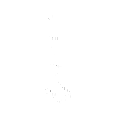 Cc1nc(Nc2ncc(C(=O)Nc3c(C)cccc3Cl)s2)cc(N2CCN(CCOCCNC(=O)CCOCCOCCNC(=O)CCCCCNC=O)CC2)n1